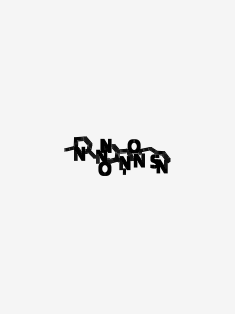 Cc1cccc(Cn2ncc3c4oc(Cc5ccns5)nc4n(C)c3c2=O)n1